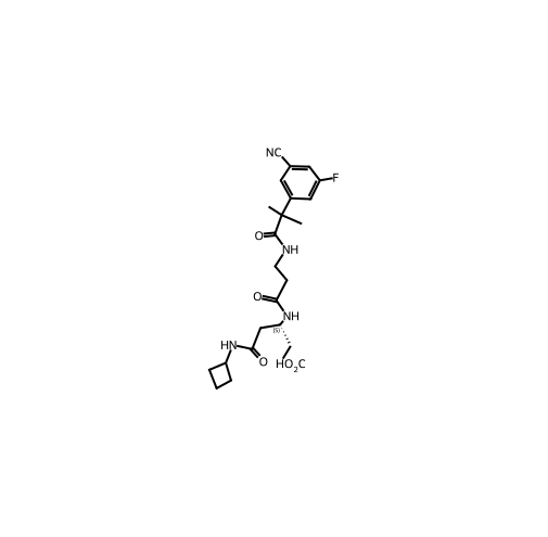 CC(C)(C(=O)NCCC(=O)N[C@H](CC(=O)O)CC(=O)NC1CCC1)c1cc(F)cc(C#N)c1